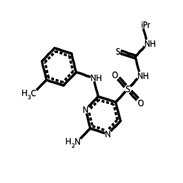 Cc1cccc(Nc2nc(N)ncc2S(=O)(=O)NC(=S)NC(C)C)c1